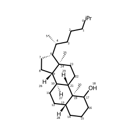 CC(C)CCC[C@@H](C)[C@H]1CC[C@H]2[C@@H]3CC[C@H]4CCCC(O)[C@]4(C)[C@H]3CC[C@]12C